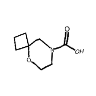 O=C(O)N1CCOC2(CCC2)C1